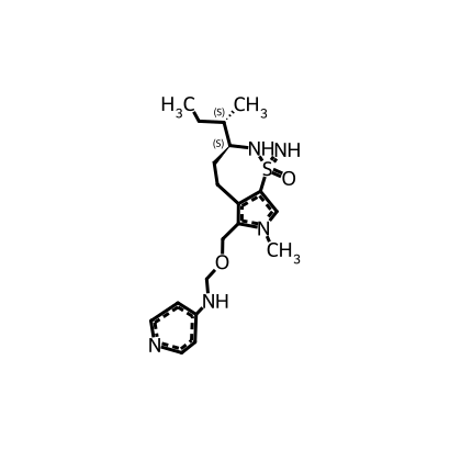 CC[C@H](C)[C@@H]1CCc2c(cn(C)c2COCNc2ccncc2)S(=N)(=O)N1